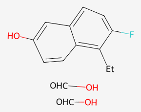 CCc1c(F)ccc2cc(O)ccc12.O=CO.O=CO